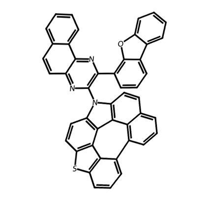 c1ccc2c(c1)ccc1nc(-n3c4ccc5cccc6c5c4c4c5c(ccc43)sc3cccc-6c35)c(-c3cccc4c3oc3ccccc34)nc12